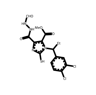 CCC(c1ccc(Cl)c(Cl)c1)n1c(S)nc(C(=O)NNC=O)c1C(=O)OC